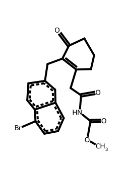 COC(=O)NC(=O)CC1=C(Cc2ccc3c(Br)cccc3c2)C(=O)CCC1